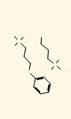 CO[Si](CCCCl)(OC)OC.CO[Si](CCCNc1ccccc1)(OC)OC